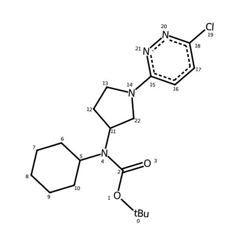 CC(C)(C)OC(=O)N(C1CCCCC1)C1CCN(c2ccc(Cl)nn2)C1